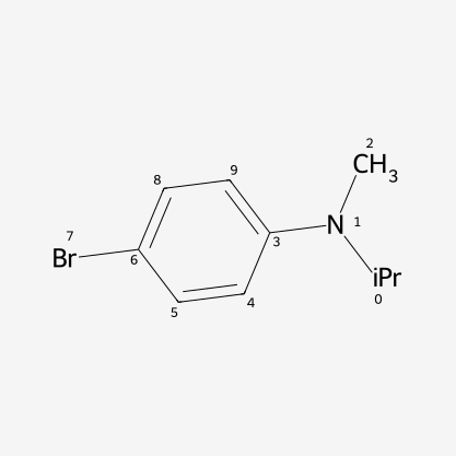 CC(C)N(C)c1ccc(Br)cc1